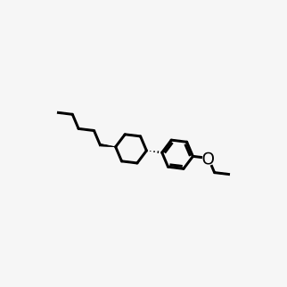 CCCCC[C@H]1CC[C@H](c2ccc(OCC)cc2)CC1